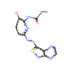 CNC(=O)Nc1nc(/N=N/c2snc3nccnc23)ccc1O